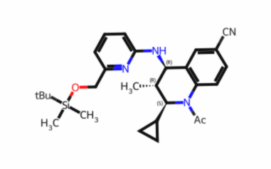 CC(=O)N1c2ccc(C#N)cc2[C@H](Nc2cccc(CO[Si](C)(C)C(C)(C)C)n2)[C@@H](C)[C@@H]1C1CC1